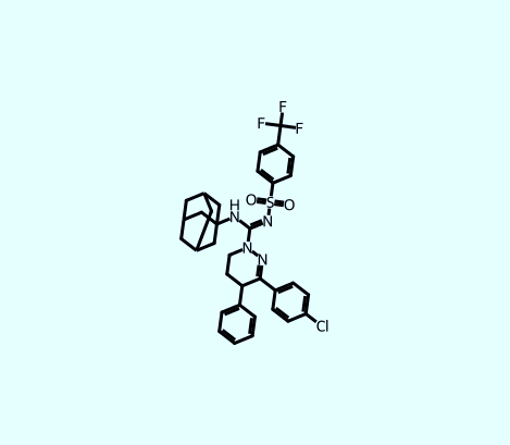 O=S(=O)(/N=C(\NC12CC3CC(CC(C3)C1)C2)N1CCC(c2ccccc2)C(c2ccc(Cl)cc2)=N1)c1ccc(C(F)(F)F)cc1